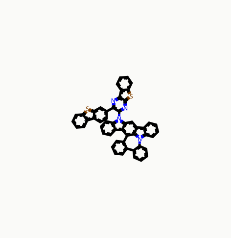 c1ccc2c(c1)-c1ccccc1-n1c3ccccc3c3cc4c(c-2c31)c1ccccc1n4-c1nc2sc3ccccc3c2nc1-c1ccc2c(c1)sc1ccccc12